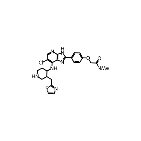 CNC(=O)COc1ccc(-c2nc3c(NC4CCNCC4Cc4nccs4)c(Cl)cnc3[nH]2)cc1